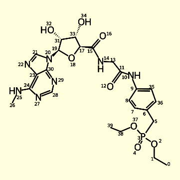 CCOP(=O)(Cc1ccc(NC(=O)CNC(=O)[C@H]2O[C@@H](n3cnc4c(NC)ncnc43)[C@H](O)[C@@H]2O)cc1)OCC